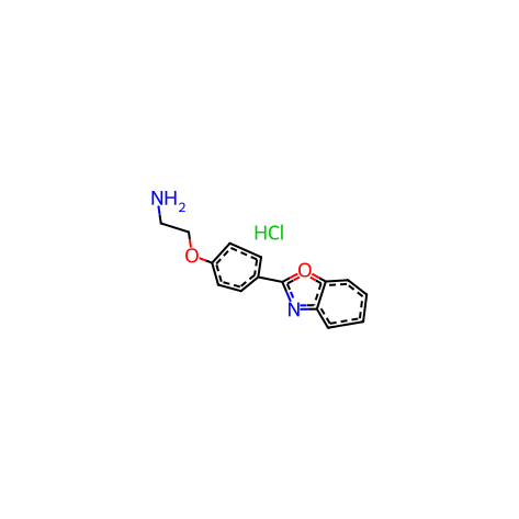 Cl.NCCOc1ccc(-c2nc3ccccc3o2)cc1